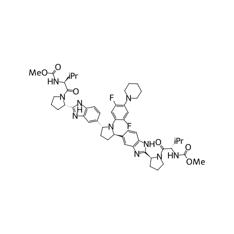 COC(=O)N[C@H](C(=O)N1CCC[C@H]1c1nc2cc([C@H]3CC[C@H](c4ccc5[nH]c([C@@H]6CCCN6C(=O)[C@@H](NC(=O)OC)C(C)C)nc5c4)N3c3cc(F)c(N4CCCCC4)cc3F)ccc2[nH]1)C(C)C